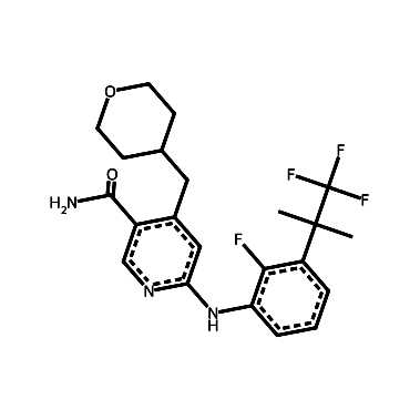 CC(C)(c1cccc(Nc2cc(CC3CCOCC3)c(C(N)=O)cn2)c1F)C(F)(F)F